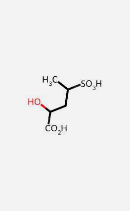 CC(CC(O)C(=O)O)S(=O)(=O)O